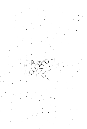 CC(C)(C)c1ccc2c(c1)c1cc(C(C)(C)C)ccc1n2-c1ccc(-c2ccc(C#N)cc2)cc1-c1nc(-c2ccccc2)nc(-c2ccc(C(F)(F)F)cc2-n2c3ccc(C(C)(C)C)cc3c3cc(C(C)(C)C)ccc32)n1